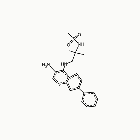 CC(C)(CNc1c(N)cnc2cc(-c3ccccc3)ccc12)NS(C)(=O)=O